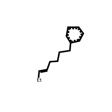 [CH2]C/C=C/CCCCc1ccccc1